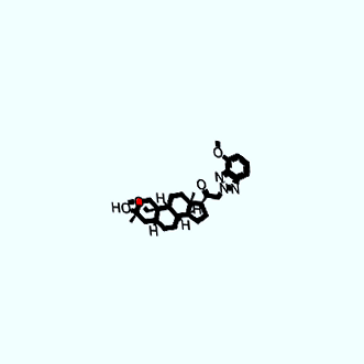 COC[C@]12CC[C@@](C)(O)C[C@H]1CC[C@H]1[C@@H]3CC[C@H](C(=O)Cn4nc5cccc(OC)c5n4)[C@@]3(C)CC[C@@H]12